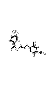 C=C(S/C=C/Cc1cc(C)c(N)cc1C)c1ccc(C(F)(F)F)cc1